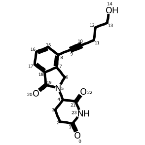 O=C1CCC(N2Cc3c(C#CCCCO)cccc3C2=O)C(=O)N1